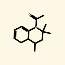 CC(=O)N1C2=CC=CCC2C(C)CC1(C)C